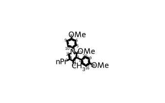 CCCC1=[C]N(c2ccc(OC)cc2)C(OC)C(c2ccc(OC)cc2)=C1C